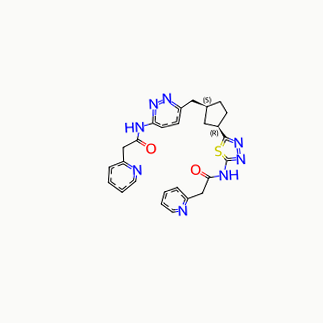 O=C(Cc1ccccn1)Nc1ccc(C[C@H]2CC[C@@H](c3nnc(NC(=O)Cc4ccccn4)s3)C2)nn1